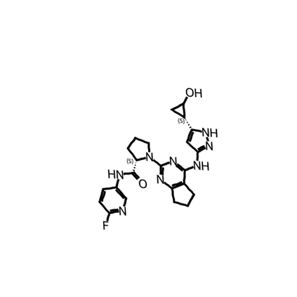 O=C(Nc1ccc(F)nc1)[C@@H]1CCCN1c1nc2c(c(Nc3cc([C@@H]4CC4O)[nH]n3)n1)CCC2